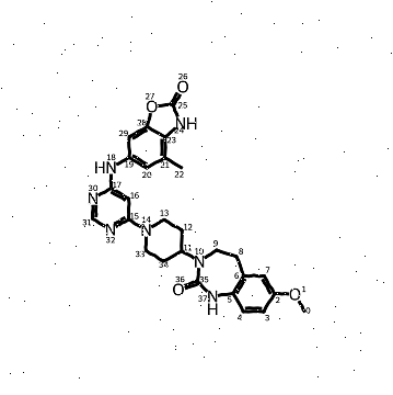 COc1ccc2c(c1)CCN(C1CCN(c3cc(Nc4cc(C)c5[nH]c(=O)oc5c4)ncn3)CC1)C(=O)N2